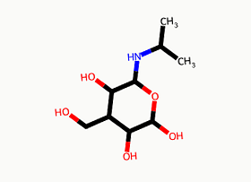 CC(C)NC1OC(O)C(O)C(CO)C1O